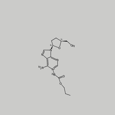 CCCOC(=O)B[n+]1cnc2c(ncn2[C@H]2CC[C@@H](CO)O2)c1N